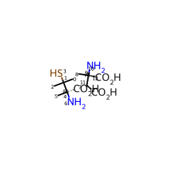 CC(C)(S)[C@](C)(N)C(=O)O.C[C@](N)(CC(=O)O)C(=O)O